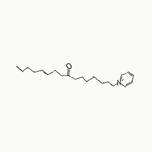 CCCCCCCCC(=O)CCCCCCC[n+]1ccccc1